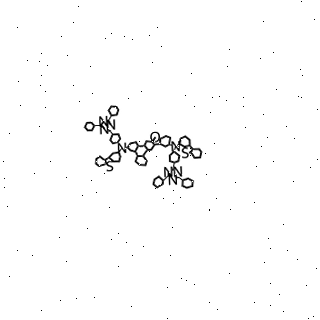 c1ccc(-c2nc(-c3ccccc3)nc(-c3ccc(N(c4ccc5sc6ccccc6c5c4)c4ccc5c(c4)c4ccccc4c4cc6c(cc54)oc4ccc(N(c5ccc(-c7nc(-c8ccccc8)nc(-c8ccccc8)n7)cc5)c5cccc7c5sc5ccccc57)cc46)cc3)n2)cc1